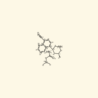 C[C@@H]1CNC[C@](NC(=O)CN(C)C)(c2ccc(C#N)c3ncncc23)C1